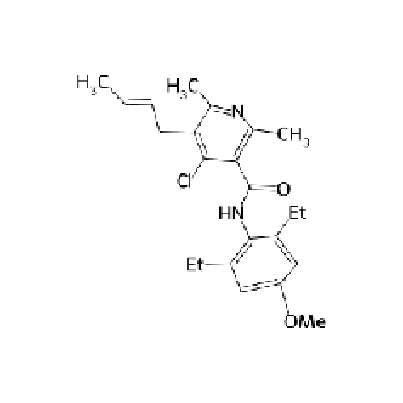 CC=CCc1c(C)nc(C)c(C(=O)Nc2c(CC)cc(OC)cc2CC)c1Cl